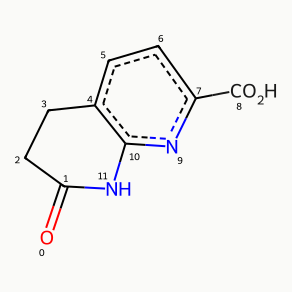 O=C1CCc2ccc(C(=O)O)nc2N1